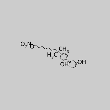 CC(C)(CCCCCCCO[N+](=O)[O-])c1ccc([C@H]2CCC[C@H](O)C2)c(O)c1